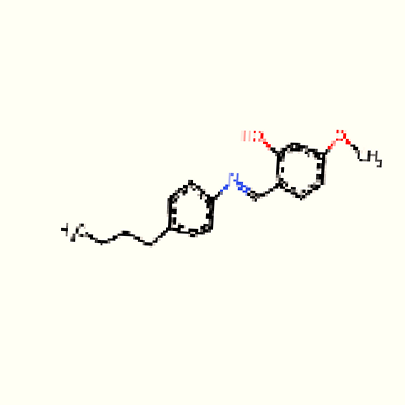 CCCCc1ccc(N=Cc2ccc(OC)cc2O)cc1